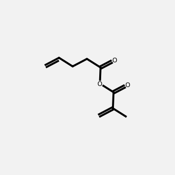 C=CCCC(=O)OC(=O)C(=C)C